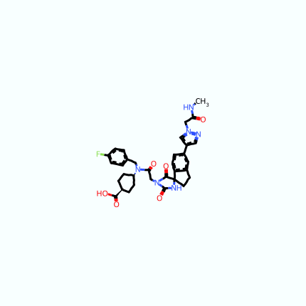 CNC(=O)Cn1cc(-c2ccc3c(c2)CCC32NC(=O)N(CC(=O)N(Cc3ccc(F)cc3)[C@H]3CC[C@H](C(=O)O)CC3)C2=O)cn1